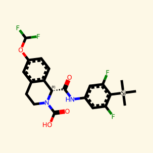 C[Si](C)(C)c1c(F)cc(NC(=O)[C@H]2c3ccc(OC(F)F)cc3CCN2C(=O)O)cc1F